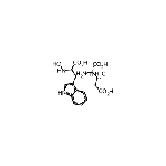 N[C@@H](CCC(=O)O)C(=O)O.O.O=C(O)C(Cc1c[nH]c2ccccc12)NO